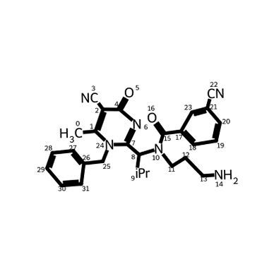 Cc1c(C#N)c(=O)nc(C(C(C)C)N(CCCN)C(=O)c2cccc(C#N)c2)n1Cc1ccccc1